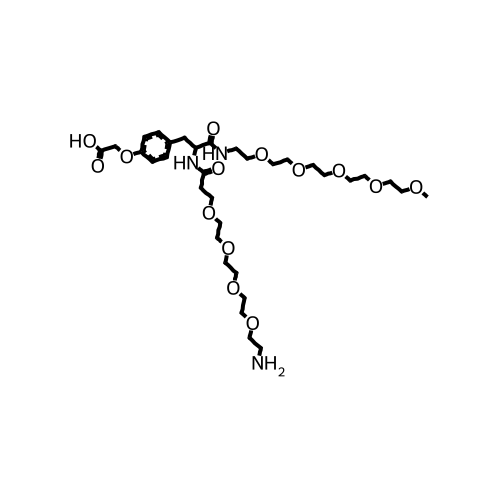 COCCOCCOCCOCCOCCNC(=O)C(Cc1ccc(OCC(=O)O)cc1)NC(=O)CCOCCOCCOCCOCCN